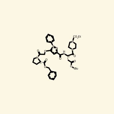 CCOC(=O)N1CCN(C(=O)[C@H](CC(=O)OC(C)(C)C)NC(=O)c2cc(OCC(=O)N3CCC[C@H]3C(=O)OCc3ccccc3)n(-c3ccccc3)n2)CC1